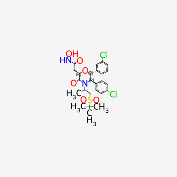 CC(CS(=O)(=O)C(C)(C)C)N1C(=O)[C@@H](CC(=O)NO)O[C@H](c2cccc(Cl)c2)[C@H]1c1ccc(Cl)cc1